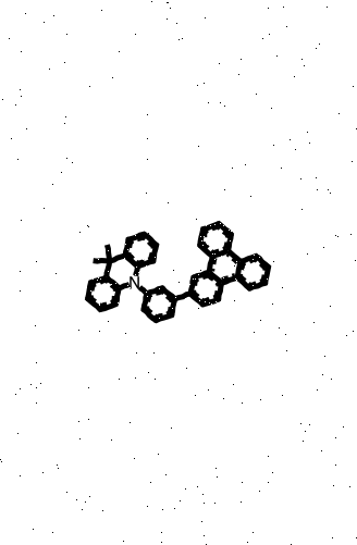 CC1(C)c2ccccc2N(c2cccc(-c3ccc4c5ccccc5c5ccccc5c4c3)c2)c2ccccc21